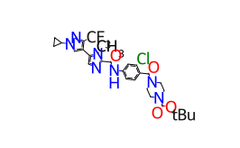 Cn1c(-c2cn(C3CC3)nc2C(F)(F)F)cnc1C(=O)Nc1ccc(C(=O)N2CCN(C(=O)OC(C)(C)C)CC2)c(Cl)c1